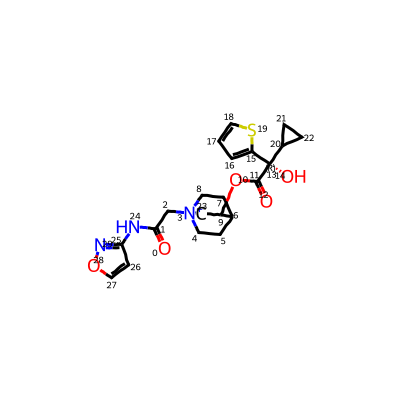 O=C(C[N+]12CCC(CC1)C(OC(=O)[C@@](O)(c1cccs1)C1CC1)C2)Nc1ccon1